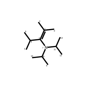 CC(C)=C(C(C)C)N(C(C)C)C(C)C